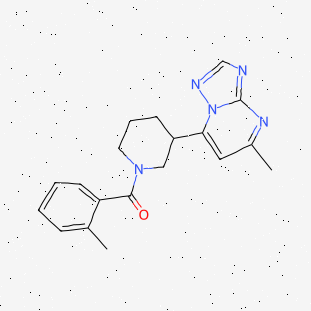 Cc1cc(C2CCCN(C(=O)c3ccccc3C)C2)n2ncnc2n1